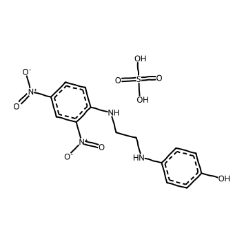 O=S(=O)(O)O.O=[N+]([O-])c1ccc(NCCNc2ccc(O)cc2)c([N+](=O)[O-])c1